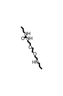 CCCNCCOCCOCCNC(=O)NCCC